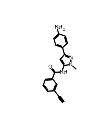 C#Cc1cccc(C(=O)Nc2cc(-c3ccc(N)cc3)nn2C)c1